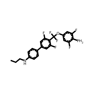 CCCNc1ccc(-c2cc(F)c(C(F)(F)Oc3cc(F)c(P)c(F)c3)c(F)c2)cc1